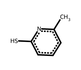 Cc1cccc(S)n1